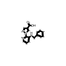 O=C(O)c1cnn(-c2ncccc2NCc2ccccc2)c1